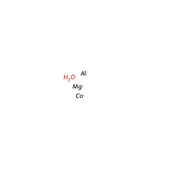 O.[Al].[Co].[Mg]